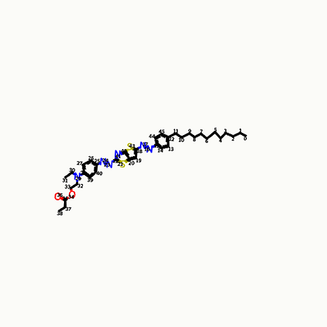 CCCCCCCCCCCCc1ccc(N=Nc2cc3sc(N=Nc4ccc(N(CC)CCOC(=O)CC)cc4)nc3s2)cc1